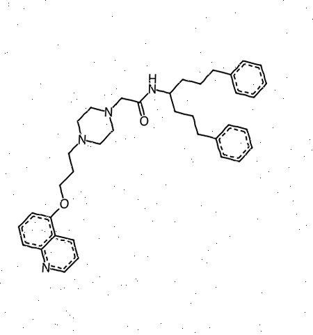 O=C(CN1CCN(CCCOc2cccc3ncccc23)CC1)NC(CCCc1ccccc1)CCCc1ccccc1